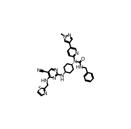 Cn1cc(-c2ccc(N(C(=O)NCc3ccccc3)[C@H]3CC[C@H](Nc4ncc(C#N)c(NCc5nccs5)n4)CC3)nc2)cn1